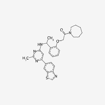 Cc1nc(NC(C)c2ccccc2OCC(=O)N2CCCCCC2)cc(-c2ccc3ncsc3c2)n1